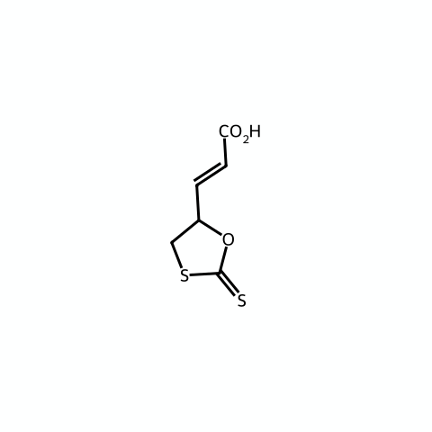 O=C(O)C=CC1CSC(=S)O1